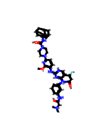 COc1nc(N2CCN(C(=O)NC34CC5CC(CC(C5)C3)C4)CC2)ccc1Nc1ncc2c(F)cc(=O)n(-c3cccc(NC(=O)CN(C)C)c3)c2n1